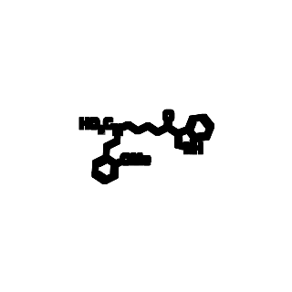 COc1ccccc1CCN(CCCCC(=O)c1c[nH]c2ccccc12)C(=O)O